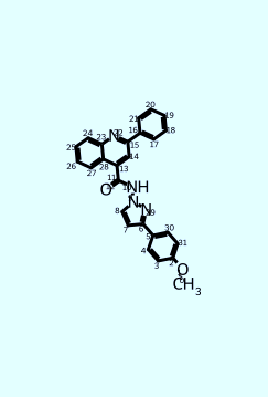 COc1ccc(-c2ccn(NC(=O)c3cc(-c4ccccc4)nc4ccccc34)n2)cc1